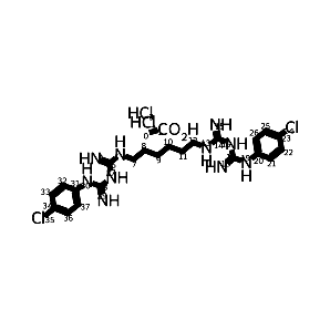 CC(=O)O.Cl.Cl.N=C(NCCCCCCNC(=N)NC(=N)Nc1ccc(Cl)cc1)NC(=N)Nc1ccc(Cl)cc1